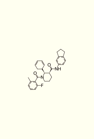 Cc1cccc(F)c1C(=O)N1CCC[C@H](C(=O)Nc2ccc3c(c2)CCC3)[C@@H]1C1C=CC=CC1